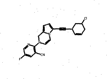 N#Cc1cc(F)cnc1N1C=Cn2c(C#CC3C=CCC(Cl)C3)ccc2C1